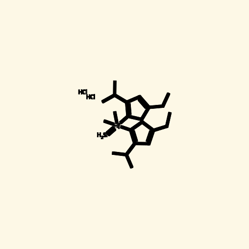 CCC1=CC(C(C)C)=[C]([Hf]([CH3])([CH3])(=[SiH2])[C]2=C(C(C)C)C=C(CC)C2)C1.Cl.Cl